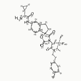 CC(N(CCc1ccc(F)cc1)C(=O)CN1C(=O)OC2(CCc3cc(NC(=O)C(N)C4CC4)ccc32)C1=O)C(F)(F)F